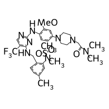 COc1cc(N2CCN(CC(=O)N(C)C)CC2)ccc1Nc1ncc(C(F)(F)F)c(NCc2ccc(C)cc2N(C)S(C)(=O)=O)n1